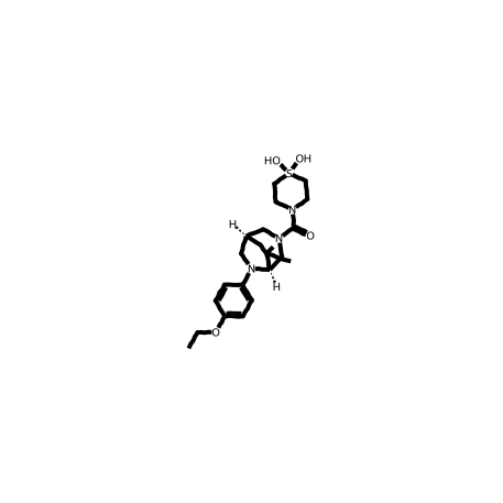 CCOc1ccc(N2C[C@H]3CN(C(=O)N4CCS(O)(O)CC4)C[C@@H]2C(C)(C)C3)cc1